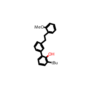 COc1ccccc1CCc1cccc(-c2cccc(C(C)(C)C)c2O)c1